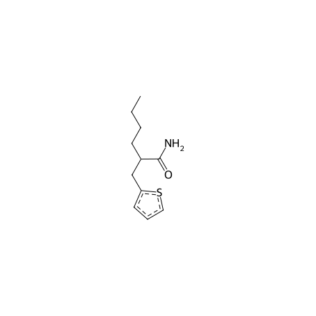 CCCCC(Cc1cccs1)C(N)=O